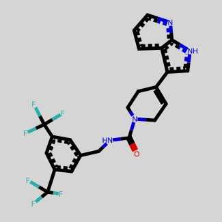 O=C(NCc1cc(C(F)(F)F)cc(C(F)(F)F)c1)N1CC=C(c2c[nH]c3ncccc23)CC1